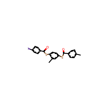 Cc1ccc(C(=O)Sc2ccc(SC(=O)c3ccc(I)cc3)c(C)c2)cc1